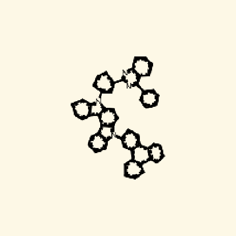 c1ccc(-c2nc(-c3cccc(-n4c5ccccc5c5c6c7ccccc7n(-c7ccc8c9ccccc9c9ccccc9c8c7)c6ccc54)c3)nc3ccccc23)cc1